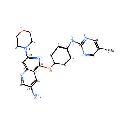 COc1cnc(NC2CCC(Oc3nc(N4CCOCC4)cc4ncc(N)cc34)CC2)nc1